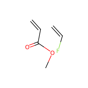 C=CC(=O)OC.C=CF